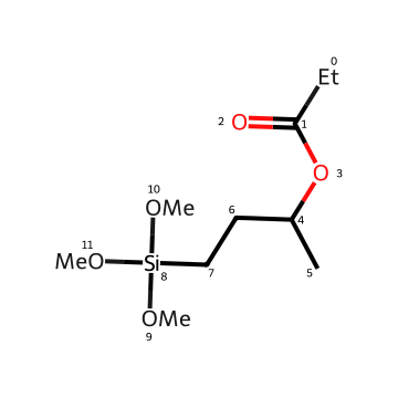 CCC(=O)OC(C)CC[Si](OC)(OC)OC